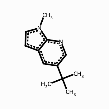 Cn1ccc2cc(C(C)(C)C)cnc21